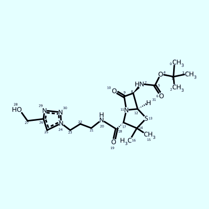 CC(C)(C)OC(=O)N[C@@H]1C(=O)N2[C@@H]1SC(C)(C)[C@@H]2C(=O)NCCCn1cc(CO)nn1